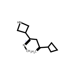 C=C(C/C(=N\C)C1CNC1)C1CCC1